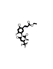 CCOC(=O)/C=C/c1cc(-n2c(=O)cc(C(F)(F)F)n(C)c2=O)c(F)cc1Cl